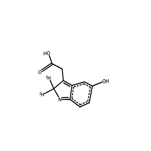 [2H]C1([2H])N=c2ccc(O)cc2=C1CC(=O)O